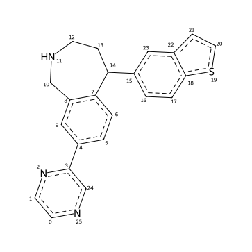 c1cnc(-c2ccc3c(c2)CNCCC3c2ccc3sccc3c2)cn1